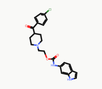 O=C(Nc1ccc2cc[nH]c2c1)OCCN1CCC(C(=O)c2ccc(Cl)cc2)CC1